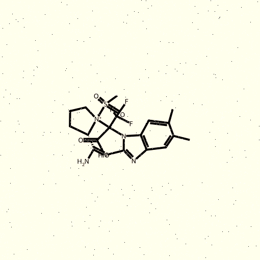 Cc1cc2nc3n(c2cc1C)C(C(F)(F)F)([N+]1(S(C)(=O)=O)CCC[C@H]1C(N)=O)C(=O)N3